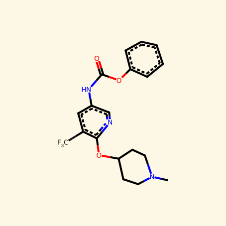 CN1CCC(Oc2ncc(NC(=O)Oc3ccccc3)cc2C(F)(F)F)CC1